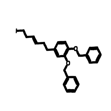 ICCC=CCCc1ccc(OCc2ccccc2)c(OCc2ccccc2)c1